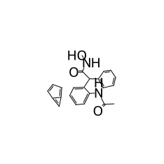 CC(=O)Nc1ccccc1C(C(=O)NO)c1ccccc1.c1cc2cc-2c1